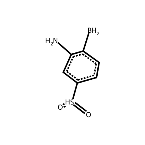 Bc1ccc([SH](=O)=O)cc1N